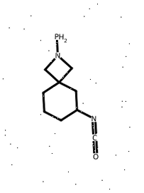 O=C=NC1CCCC2(C1)CN(P)C2